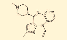 C=CN1c2ccccc2N=C(N2CCN(C)CC2)c2cc(C)sc21